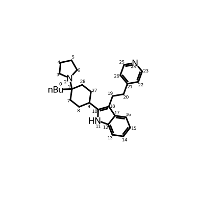 CCCCC1(N2CCCC2)CCC(c2[nH]c3ccccc3c2CCc2ccncc2)CC1